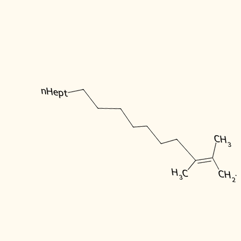 [CH2]/C(C)=C(\C)CCCCCCCCCCCCCC